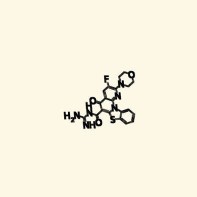 N=C(N)NC(=O)c1c(=O)c2cc(F)c(N3CCOCC3)nc2n2c1sc1ccccc12